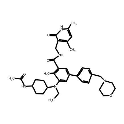 CCN(c1cc(-c2ccc(CN3CCOCC3)cc2)cc(C(=O)NCc2c(C)cc(C)[nH]c2=O)c1C)C1CCC(NC(C)=O)CC1